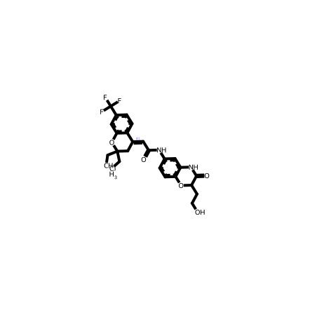 CCC1(CC)C/C(=C\C(=O)Nc2ccc3c(c2)NC(=O)C(CCO)O3)c2ccc(C(F)(F)F)cc2O1